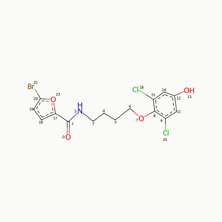 O=C(NCCCCOc1c(Cl)cc(O)cc1Cl)c1ccc(Br)o1